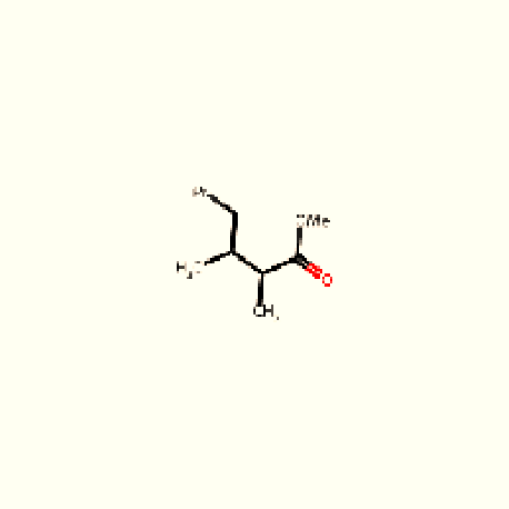 COC(=O)C(C)C(C)CC(C)C